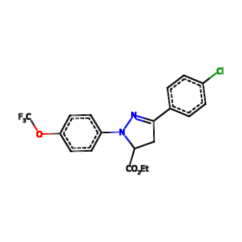 CCOC(=O)C1CC(c2ccc(Cl)cc2)=NN1c1ccc(OC(F)(F)F)cc1